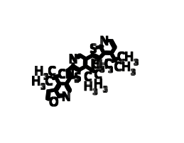 CC(C)(C)c1c(-c2cc3ncc(-c4cc5c(C(C)(C)C)ccnc5s4)c(C(C)(C)C)c3s2)cnc2occc12